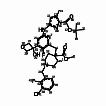 COC(=O)C1(Cc2nc(Nc3cc(C)n(C(=O)OC(C)(C)C)n3)cc(C3(O)COC3)c2F)CCN(Cc2cccc(Cl)c2F)CC1